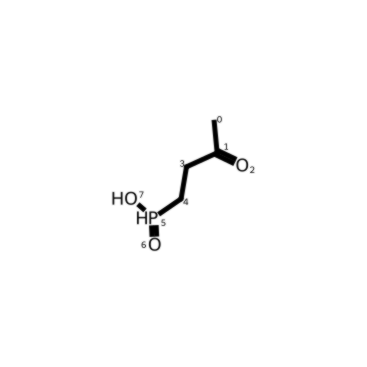 CC(=O)CC[PH](=O)O